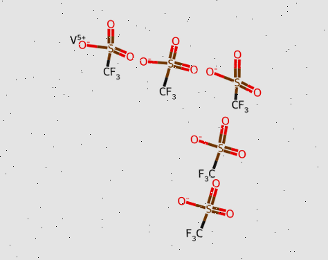 O=S(=O)([O-])C(F)(F)F.O=S(=O)([O-])C(F)(F)F.O=S(=O)([O-])C(F)(F)F.O=S(=O)([O-])C(F)(F)F.O=S(=O)([O-])C(F)(F)F.[V+5]